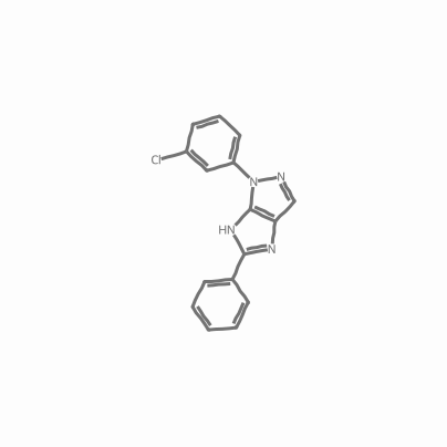 Clc1cccc(-n2ncc3nc(-c4ccccc4)[nH]c32)c1